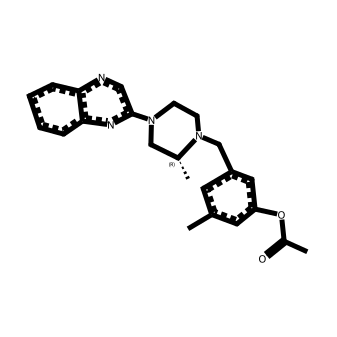 CC(=O)Oc1cc(C)cc(CN2CCN(c3cnc4ccccc4n3)C[C@H]2C)c1